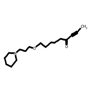 CC#CC(=O)CCCCCOCCCN1CCCCC1